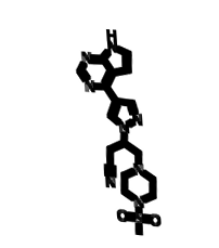 CS(=O)(=O)N1CCN(CC(CC#N)n2cc(-c3ncnc4[nH]ccc34)cn2)CC1